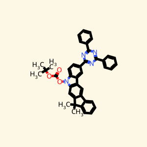 CC(C)(C)OC(=O)On1c2ccc(-c3nc(-c4ccccc4)nc(-c4ccccc4)n3)cc2c2cc3c(cc21)C(C)(C)c1ccccc1-3